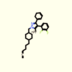 C=C=CCCCC1CCC(Cn2nc(C3=CC=CCC3)c(-c3cccc(F)c3F)c2CCC)CC1